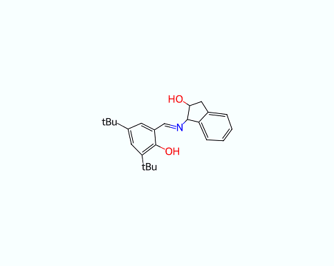 CC(C)(C)c1cc(C=NC2c3ccccc3CC2O)c(O)c(C(C)(C)C)c1